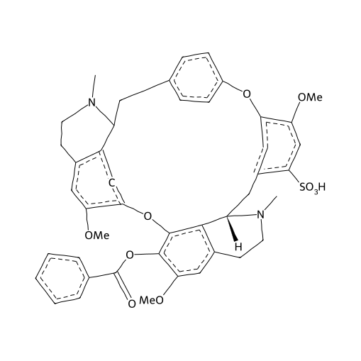 COc1cc(S(=O)(=O)O)c2cc1Oc1ccc(cc1)CC1c3cc(c(OC)cc3CCN1C)Oc1c(OC(=O)c3ccccc3)c(OC)cc3c1[C@H](C2)N(C)CC3